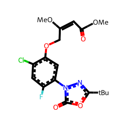 COC(=O)/C=C(\COc1cc(-n2nc(C(C)(C)C)oc2=O)c(F)cc1Cl)OC